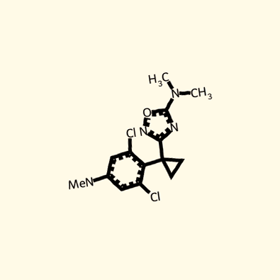 CNc1cc(Cl)c(C2(c3noc(N(C)C)n3)CC2)c(Cl)c1